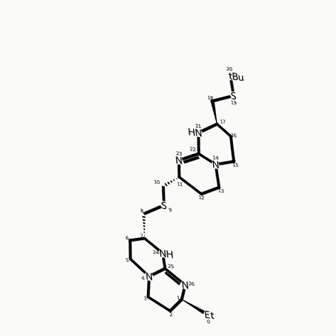 CC[C@H]1CCN2CC[C@H](CSC[C@H]3CCN4CC[C@H](CSC(C)(C)C)NC4=N3)NC2=N1